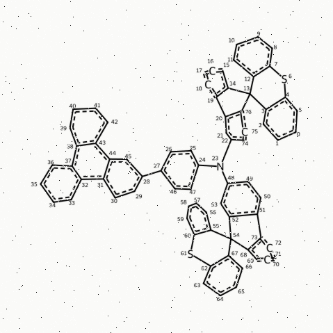 c1ccc2c(c1)Sc1ccccc1C21c2ccccc2-c2cc(N(c3ccc(-c4ccc5c6ccccc6c6ccccc6c5c4)cc3)c3ccc4c(c3)C3(c5ccccc5Sc5ccccc53)c3ccccc3-4)ccc21